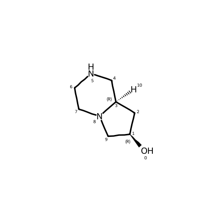 O[C@@H]1C[C@@H]2CNCCN2C1